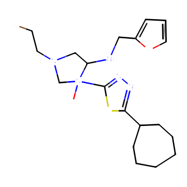 [O-][N+]1(c2nnc(C3CCCCCC3)s2)CN(CCBr)CC1NCc1ccco1